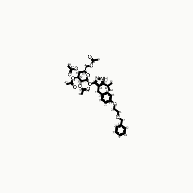 CC(=O)OC[C@H]1O[C@@H](Oc2n[nH]c(C(C)C)c2Cc2ccc(OCCOCc3ccccc3)cc2)[C@H](OC(C)=O)[C@@H](OC(C)=O)[C@@H]1OC(C)=O